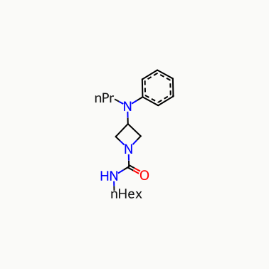 CCCCCCNC(=O)N1CC(N(CCC)c2ccccc2)C1